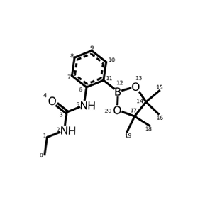 CCNC(=O)Nc1ccccc1B1OC(C)(C)C(C)(C)O1